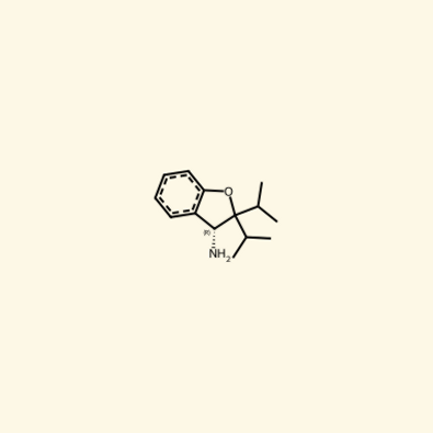 CC(C)C1(C(C)C)Oc2ccccc2[C@H]1N